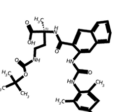 Cc1cc(C)c(NC(=O)Nc2cc3ccccc3cc2C(=O)N[C@@](C)(CCNC(=O)OC(C)(C)C)C(=O)O)c(C)c1